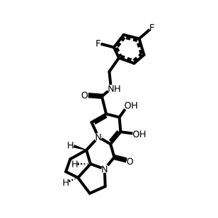 O=C(NCc1ccc(F)cc1F)C1=CN2C(=C(O)C1O)C(=O)N1CC[C@H]3CC[C@H]2[C@H]31